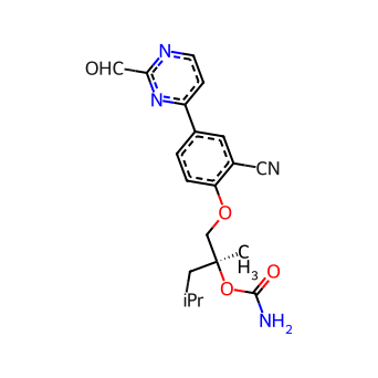 CC(C)C[C@@](C)(COc1ccc(-c2ccnc(C=O)n2)cc1C#N)OC(N)=O